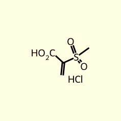 C=C(C(=O)O)S(C)(=O)=O.Cl